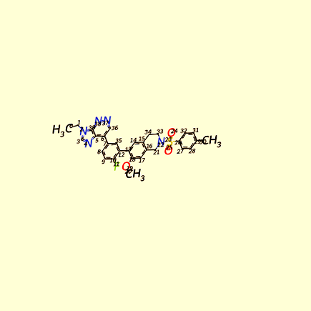 CCn1cnc2c(-c3ccc(F)c(-c4cc5c(cc4OC)CN(S(=O)(=O)c4ccc(C)cc4)CC5)c3)cnnc21